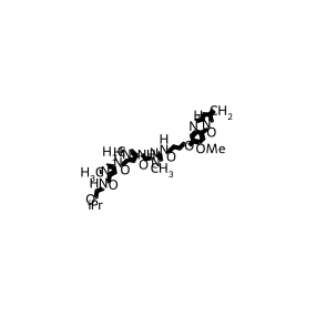 C=C1C[C@@H]2C=Nc3cc(OCCCC(=O)Nc4cn(C)c(C(=O)Nc5cc(C(=O)Nc6cc(C(=O)NCCCOC(C)C)n(C)c6)n(C)c5)n4)c(OC)cc3C(=O)N2C1